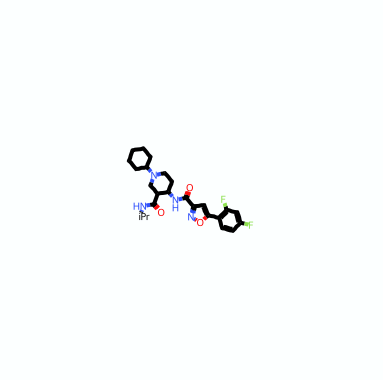 CC(C)NC(=O)C1CN(C2CCCCC2)CCC1NC(=O)c1cc(-c2ccc(F)cc2F)on1